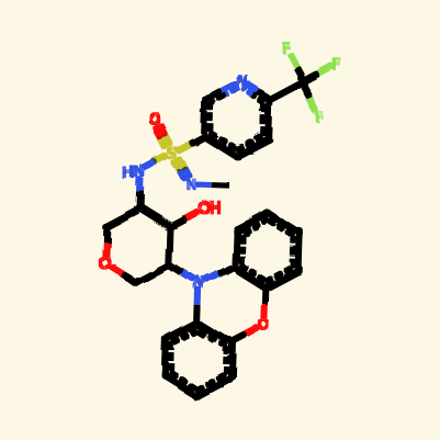 CN=S(=O)(NC1COCC(N2c3ccccc3Oc3ccccc32)C1O)c1ccc(C(F)(F)F)nc1